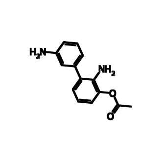 CC(=O)Oc1cccc(-c2cccc(N)c2)c1N